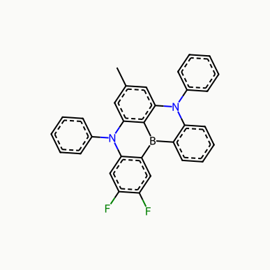 Cc1cc2c3c(c1)N(c1ccccc1)c1cc(F)c(F)cc1B3c1ccccc1N2c1ccccc1